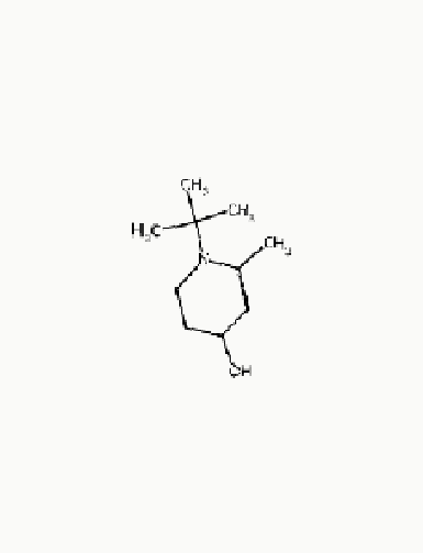 CC1CC(O)CCN1C(C)(C)C